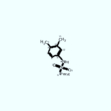 CCCC(C)S(=O)(=O)Nc1ccc(C)c(C)c1